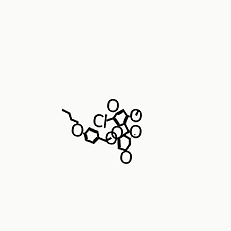 CCCCOc1ccc(COC2=CC(=O)C[C@@H](C)[C@]23Oc2c(Cl)c(OC)cc(OC)c2C3=O)cc1